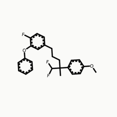 COc1ccc(C(C)(CCCc2ccc(F)c(Oc3ccccc3)c2)C(F)F)cc1